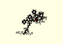 CC(=O)OC1C(=O)C2(C)[C@@H](O)C[C@H]3OC[C@@]3(OC(C)=O)[C@H]2[C@H](OC(=O)c2ccccc2)[C@]2(O)C[C@H](OC(=O)[C@H](OC(=O)CCCNC(=O)/C=C(/CC(=O)O)C(=O)O)[C@@H](NC(=O)c3ccccc3)c3ccccc3)C(C)=C1C2(C)C